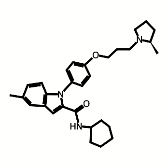 Cc1ccc2c(c1)cc(C(=O)NC1CCCCC1)n2-c1ccc(OCCCN2CCC[C@H]2C)cc1